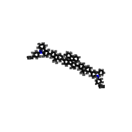 CC(C)(C)c1ccc(-n2c3ccccc3c3cc(-c4ccc5c(c4)C(C)(C)c4cc(-c6ccc7c(c6)C6(c8ccccc8-c8ccccc86)c6cc(-c8ccc9c(c8)C(C)(C)c8cc(-c%10ccc%11c(c%10)c%10ccccc%10n%11-c%10ccc(C(C)(C)C)cc%10)ccc8-9)ccc6-7)ccc4-5)ccc32)cc1